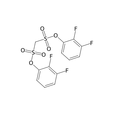 O=S(=O)(CS(=O)(=O)Oc1cccc(F)c1F)Oc1cccc(F)c1F